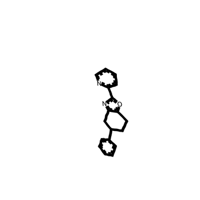 c1ccc(C2CCc3oc(-c4ccccn4)nc3C2)cc1